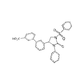 O=C(O)c1cccc(-c2cccc(C3CN(S(=O)(=O)c4ccccc4)C(=O)N3c3ccccc3)c2)c1